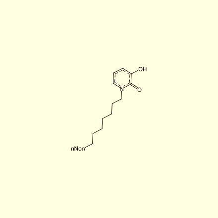 CCCCCCCCCCCCCCCCn1cccc(O)c1=O